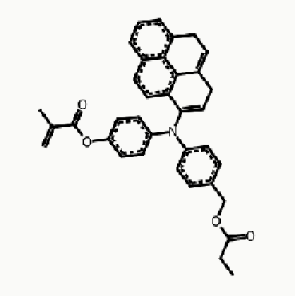 C=C(C)C(=O)Oc1ccc(N(C2=CCC3=CCc4cccc5ccc2c3c45)c2ccc(COC(=O)CC)cc2)cc1